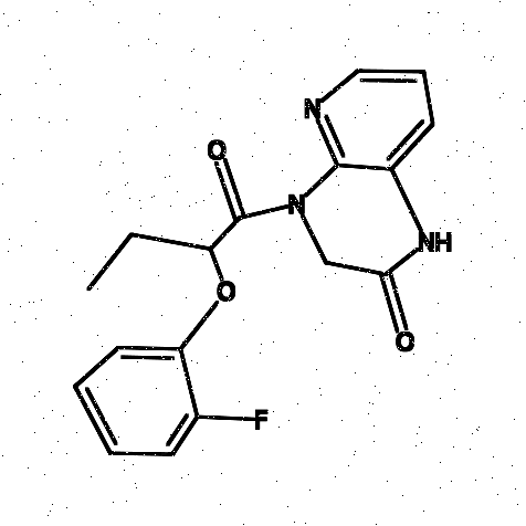 CCC(Oc1ccccc1F)C(=O)N1CC(=O)Nc2cccnc21